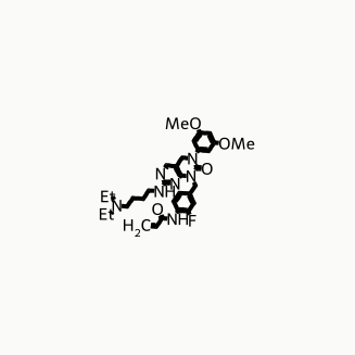 C=CC(=O)Nc1ccc(CN2C(=O)N(c3cc(OC)cc(OC)c3)Cc3cnc(NCCCCN(CC)CC)nc32)cc1F